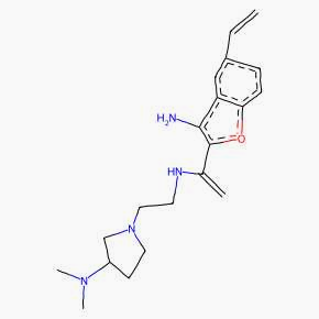 C=Cc1ccc2oc(C(=C)NCCN3CCC(N(C)C)C3)c(N)c2c1